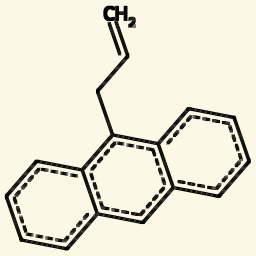 C=CCc1c2ccccc2cc2ccccc12